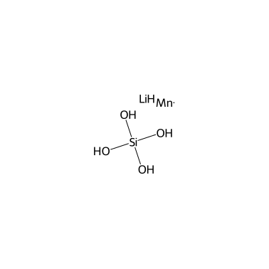 O[Si](O)(O)O.[LiH].[Mn]